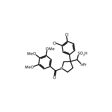 CCCC(C1(c2ccc(Cl)c(Cl)c2)CCN(C(=O)c2cc(OC)c(OC)c(OC)c2)C1)S(=O)(=O)O